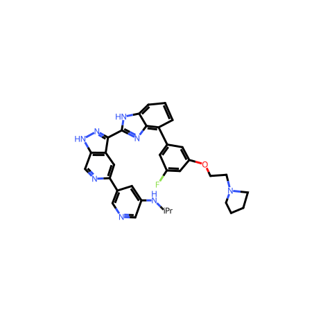 CC(C)Nc1cncc(-c2cc3c(-c4nc5c(-c6cc(F)cc(OCCN7CCCC7)c6)cccc5[nH]4)n[nH]c3cn2)c1